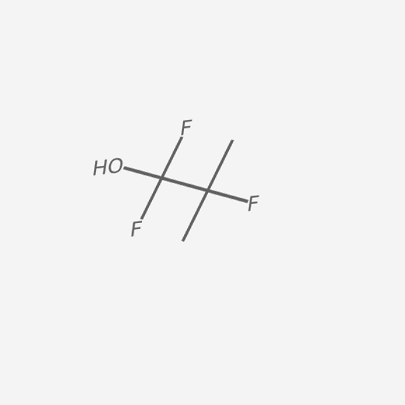 CC(C)(F)C(O)(F)F